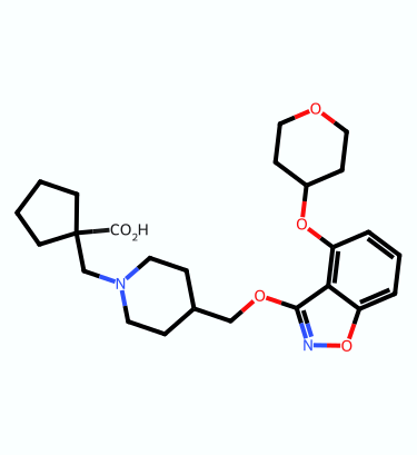 O=C(O)C1(CN2CCC(COc3noc4cccc(OC5CCOCC5)c34)CC2)CCCC1